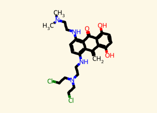 C=C1c2c(O)ccc(O)c2C(=O)c2c(NCCN(C)C)ccc(NCCN(CCCl)CCCl)c21